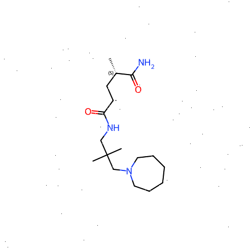 C[C@@H](C[CH]C(=O)NCC(C)(C)CN1CCCCCC1)C(N)=O